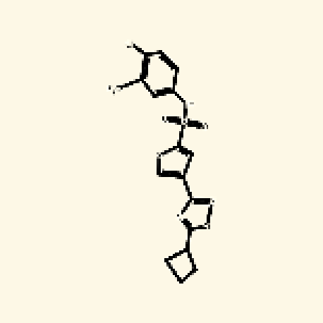 O=S(=O)(Nc1ccc(Cl)c(C(F)(F)F)c1)c1cc(-c2noc(C3CCC3)n2)cs1